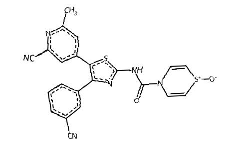 Cc1cc(-c2sc(NC(=O)N3C=C[S+]([O-])C=C3)nc2-c2cccc(C#N)c2)cc(C#N)n1